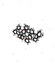 c1ccc(C2(c3ccccc3)c3ccccc3C3(c4cc5c(cc42)C2(c4ccccc4-c4ccccc42)c2ccccc2-5)c2cccnc2-c2ncc(-n4c5ccccc5c5cnccc54)cc23)cc1